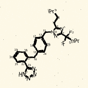 CCCC(F)(F)c1nc(CCC(C)C)n(Cc2ccc(Cc3ccccc3-c3nnn[nH]3)cc2)n1